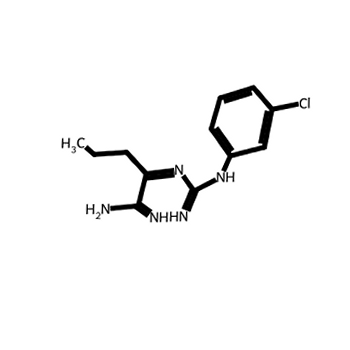 CCCC(=NC(=N)Nc1cccc(Cl)c1)C(=N)N